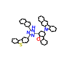 c1ccc2cc(C3N=C(c4ccc5sc6ccccc6c5c4)N=C(c4cc(-n5c6ccccc6c6cc7ccccc7cc65)cc5c4oc4ccccc45)N3)ccc2c1